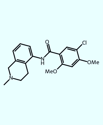 COc1cc(OC)c(C(=O)Nc2cccc3c2CCN(C)C3)cc1Cl